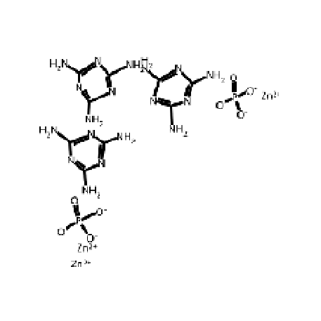 Nc1nc(N)nc(N)n1.Nc1nc(N)nc(N)n1.Nc1nc(N)nc(N)n1.O=P([O-])([O-])[O-].O=P([O-])([O-])[O-].[Zn+2].[Zn+2].[Zn+2]